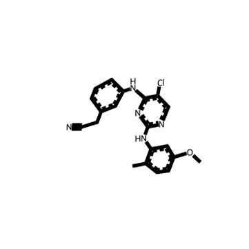 COc1ccc(C)c(Nc2ncc(Cl)c(Nc3cccc(CC#N)c3)n2)c1